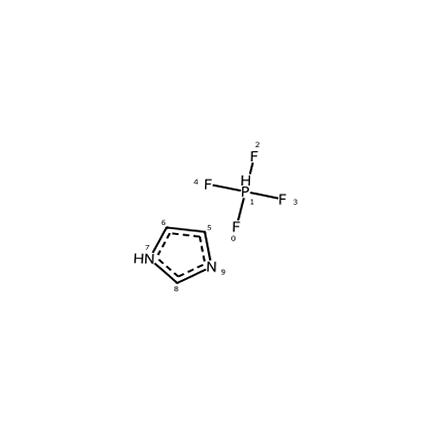 F[PH](F)(F)F.c1c[nH]cn1